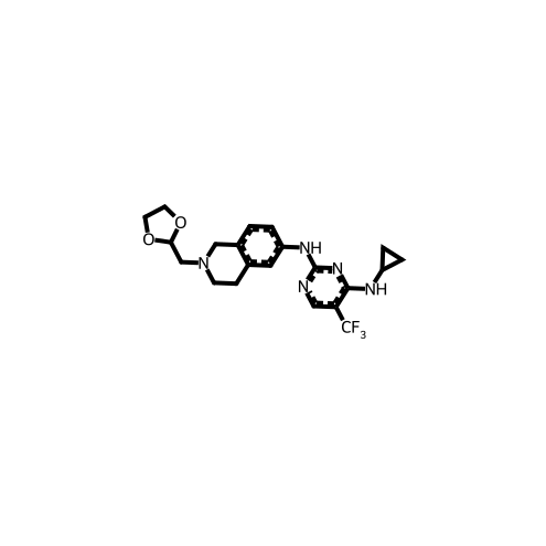 FC(F)(F)c1cnc(Nc2ccc3c(c2)CCN(CC2OCCO2)C3)nc1NC1CC1